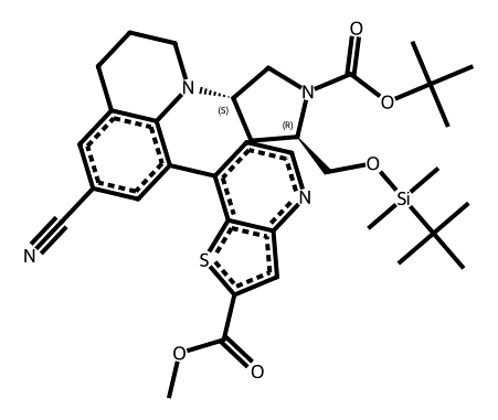 COC(=O)c1cc2nccc(-c3cc(C#N)cc4c3N([C@H]3C[C@H](CO[Si](C)(C)C(C)(C)C)N(C(=O)OC(C)(C)C)C3)CCC4)c2s1